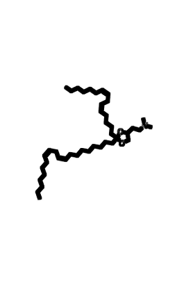 CCCCCC/C=C\C/C=C\CCCCC1(CCCCCCCC/C=C\C/C=C\CCCCCCC)OCC(CCN(C)C)O1